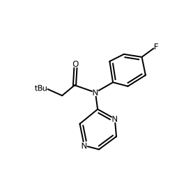 CC(C)(C)CC(=O)N(c1ccc(F)cc1)c1cnccn1